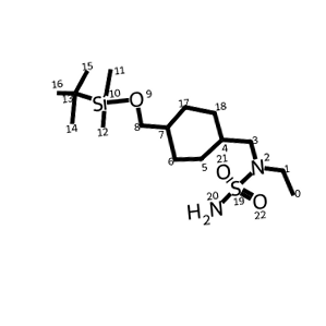 CCN(CC1CCC(CO[Si](C)(C)C(C)(C)C)CC1)S(N)(=O)=O